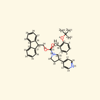 [2H]C([2H])([2H])Oc1cccc([C@@H]2C(c3ccncc3)CCN2C(=O)OCC2c3ccccc3-c3ccccc32)c1C